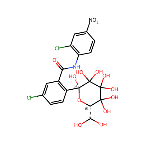 O=C(Nc1ccc([N+](=O)[O-])cc1Cl)c1cc(Cl)ccc1[C@]1(O)O[C@@H](C(O)O)C(O)(O)C(O)(O)C1(O)O